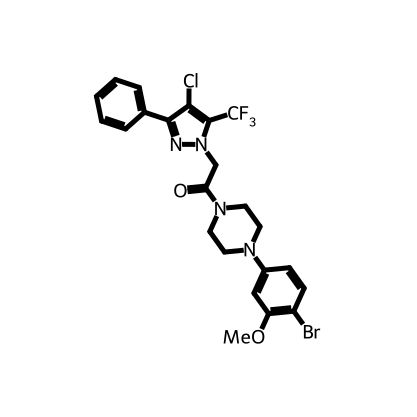 COc1cc(N2CCN(C(=O)Cn3nc(-c4ccccc4)c(Cl)c3C(F)(F)F)CC2)ccc1Br